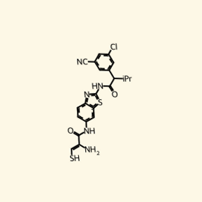 CC(C)C(C(=O)Nc1nc2ccc(NC(=O)/C(N)=C/S)cc2s1)c1cc(Cl)cc(C#N)c1